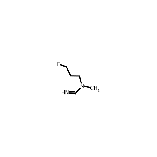 CN([C]=N)CCCF